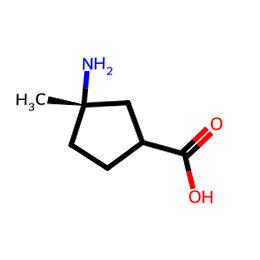 C[C@]1(N)CCC(C(=O)O)C1